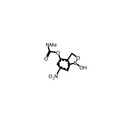 CNC(=O)Oc1cc([N+](=O)[O-])cc2c1COB2O